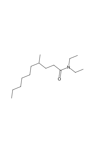 CCCCCCC(C)CCC(=O)N(CC)CC